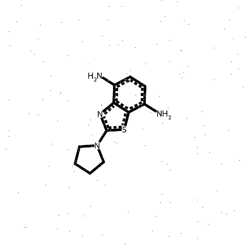 Nc1ccc(N)c2sc(N3CCCC3)nc12